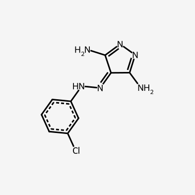 NC1=NN=C(N)C1=NNc1cccc(Cl)c1